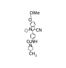 COCCOc1ccc2c(C#N)c(-c3ccc(NC(=O)N4CCC(C)CC4)cc3)n(C3CCC3)c2c1